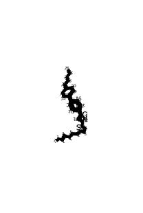 CCCCCCCc1ccc(-c2cc(-c3ccc(C4CCC(CCCCC)CC4)cc3)on2)s1